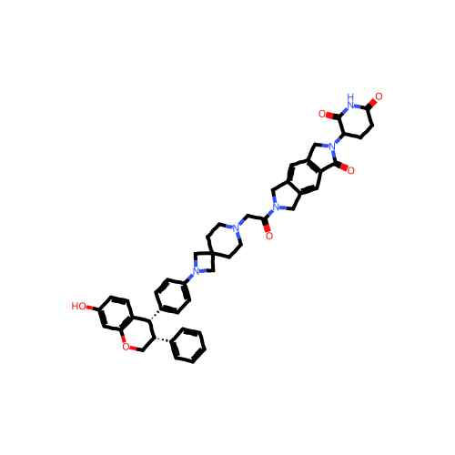 O=C1CCC(N2Cc3cc4c(cc3C2=O)CN(C(=O)CN2CCC3(CC2)CN(c2ccc([C@H]5c6ccc(O)cc6OC[C@H]5c5ccccc5)cc2)C3)C4)C(=O)N1